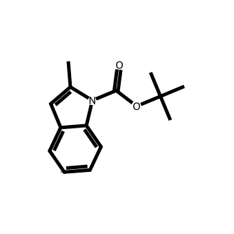 Cc1cc2c[c]ccc2n1C(=O)OC(C)(C)C